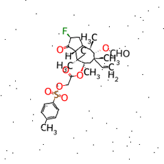 C=C[C@]1(C)C[C@@H](OC(=O)COS(=O)(=O)c2ccc(C)cc2)[C@]2(C)[C@H](C)CC[C@]3(C[C@H](F)C(=O)[C@H]32)[C@@H](C)[C@@H]1OC=O